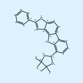 CC1(C)OB(c2cccc3c2oc2c3ccc3oc(-c4ccccc4)nc32)OC1(C)C